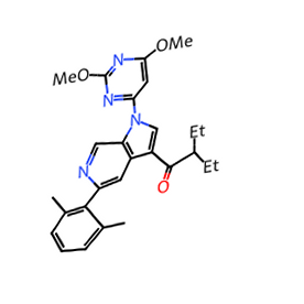 CCC(CC)C(=O)c1cn(-c2cc(OC)nc(OC)n2)c2cnc(-c3c(C)cccc3C)cc12